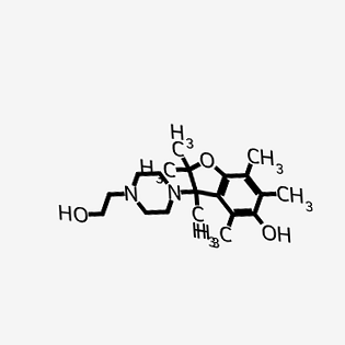 Cc1c(C)c2c(c(C)c1O)C(C)(N1CCN(CCO)CC1)C(C)(C)O2